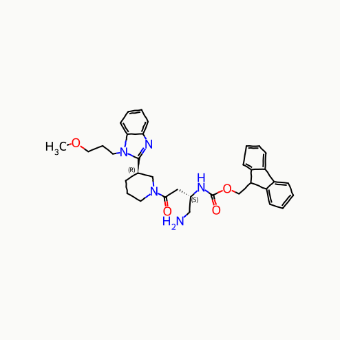 COCCCn1c([C@@H]2CCCN(C(=O)C[C@@H](CN)NC(=O)OCC3c4ccccc4-c4ccccc43)C2)nc2ccccc21